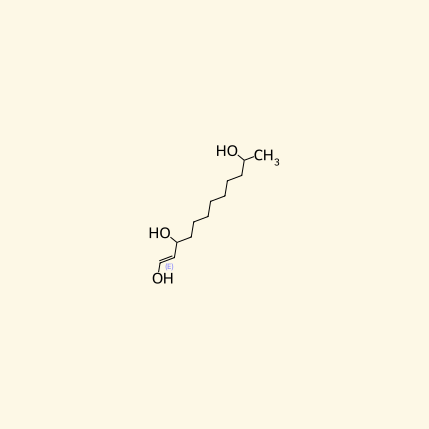 CC(O)CCCCCCCC(O)/C=C/O